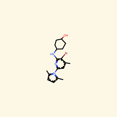 Cc1cc(-n2c(C)ccc2C)nc(NC2CCC(O)CC2)c1Br